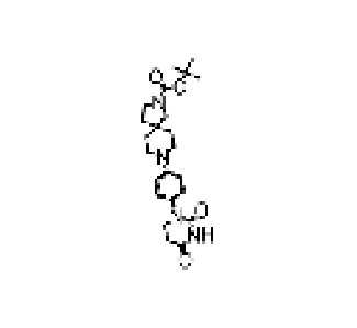 CC(C)(C)OC(=O)N1CCC2(CCN(c3ccc(N4CCC(=O)NC4=O)cc3)CC2)C1